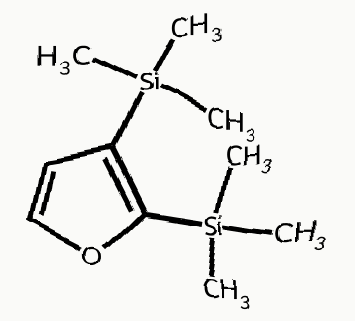 C[Si](C)(C)c1ccoc1[Si](C)(C)C